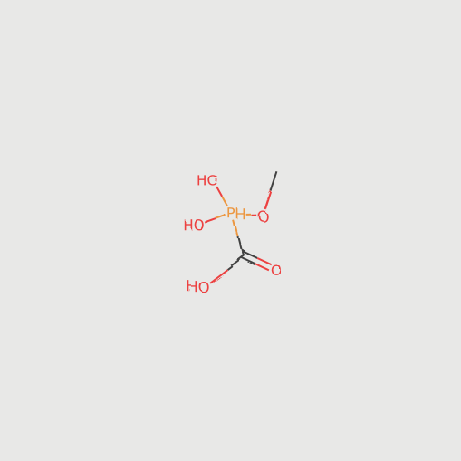 CO[PH](O)(O)C(=O)O